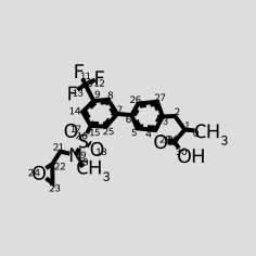 CC(Cc1ccc(-c2cc(C(F)(F)F)cc(S(=O)(=O)N(C)CC3CO3)c2)cc1)C(=O)O